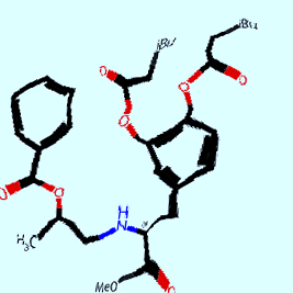 CCC(C)CC(=O)Oc1ccc(C[C@H](NCC(C)OC(=O)c2ccccc2)C(=O)OC)cc1OC(=O)CC(C)CC